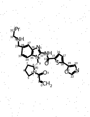 C=CC(=O)N1CCC[C@@H]1Cn1c(NC(=O)c2ccc(-c3cnco3)s2)nc2cc(CNCC(C)C)ccc21